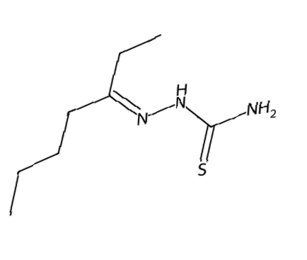 CCCCC(CC)=NNC(N)=S